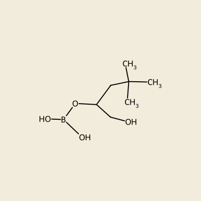 CC(C)(C)CC(CO)OB(O)O